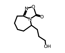 O=c1onc2n1C(CCCO)CCCC2